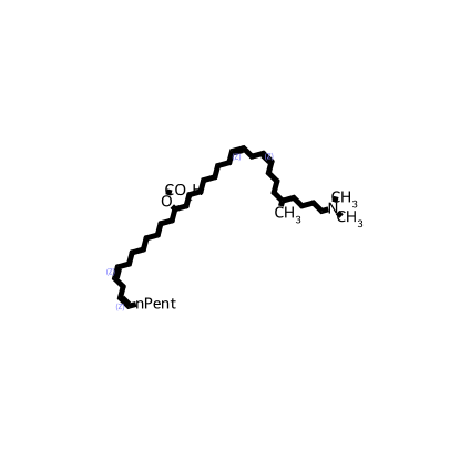 CCCCC/C=C\C/C=C\CCCCCCCC(CCCCCCC/C=C\C/C=C\CCCC(C)CCCCN(C)C)OC(=O)O